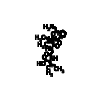 CC[C@H](C)[C@H](NC(=O)CNC(=O)[C@@H](NC(=O)[C@@H]1CCCN1C(=O)CN)[C@@H](C)CC)C(=O)O